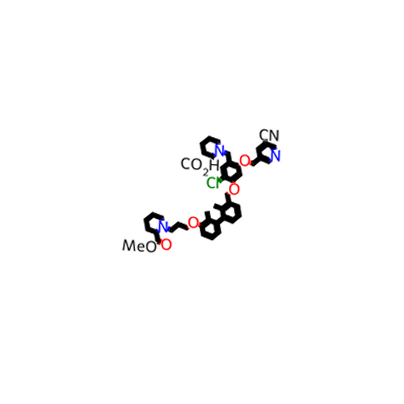 COC(=O)C1CCCCN1CCCOc1cccc(-c2cccc(COc3cc(OCc4cncc(C#N)c4)c(CN4CCCC[C@H]4C(=O)O)cc3Cl)c2C)c1C